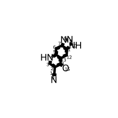 N#Cc1c[nH]c2cc3nn[nH]c3cc2c1=O